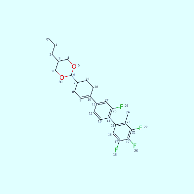 CCCC1COC(C2CC=C(c3ccc(-c4cc(F)c(F)c(F)c4C)c(F)c3)CC2)OC1